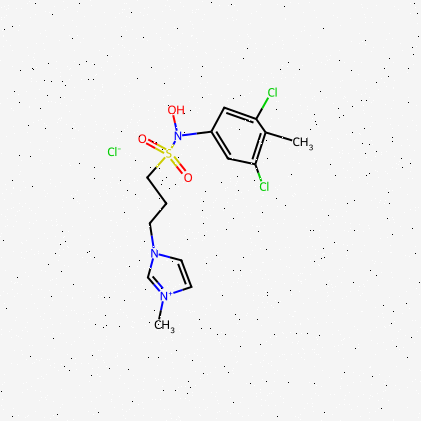 Cc1c(Cl)cc(N(O)S(=O)(=O)CCCn2cc[n+](C)c2)cc1Cl.[Cl-]